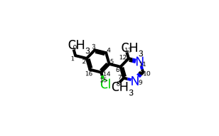 CCc1ccc(-c2c(C)n[c]nc2C)c(Cl)c1